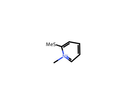 CSc1cccc[n+]1C